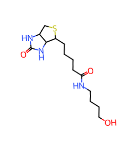 O=C(CCCCC1SCC2NC(=O)NC21)NCCCCO